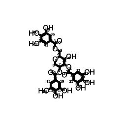 O=C(OCC1OCC(OC(=O)c2cc(O)c(O)c(O)c2)C(OC(=O)c2cc(O)c(O)c(O)c2)C1O)c1cc(O)c(O)c(O)c1